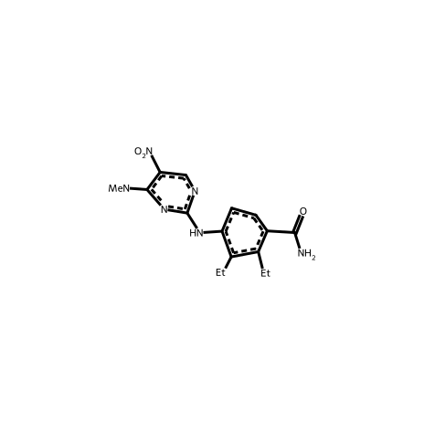 CCc1c(Nc2ncc([N+](=O)[O-])c(NC)n2)ccc(C(N)=O)c1CC